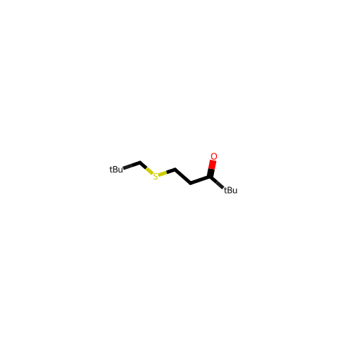 CC(C)(C)CSCCC(=O)C(C)(C)C